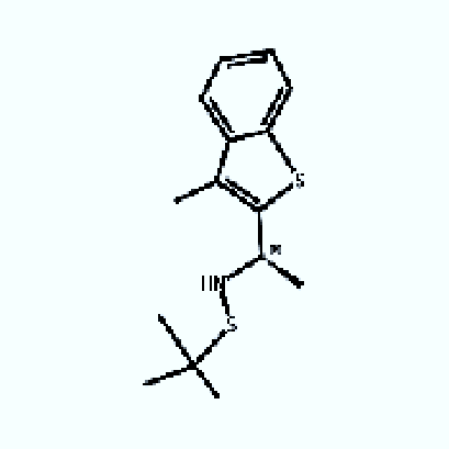 Cc1c([C@@H](C)NSC(C)(C)C)sc2ccccc12